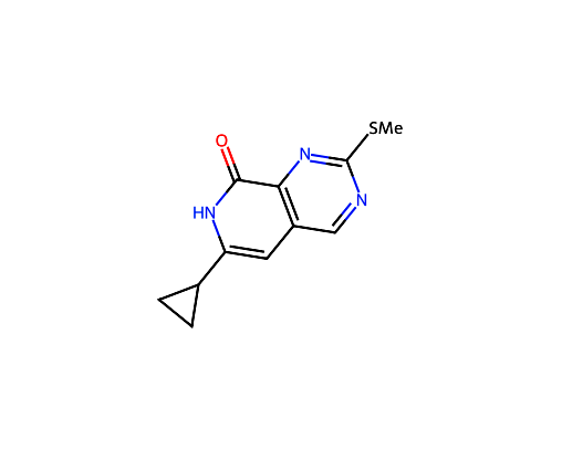 CSc1ncc2cc(C3CC3)[nH]c(=O)c2n1